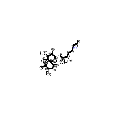 C/C=C/CC[C@H](C)[C@@H](O)C[C@@H]1O[C@@]2(NC(=O)[C@@H](CC)C[C@@H]2C)[C@@H](C)[C@@H](O)[C@H]1C